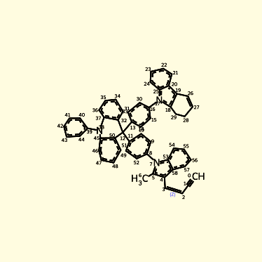 C#C/C=C\c1c(C)n(-c2ccc(C3(c4ccc(-n5c6c(c7ccccc75)C=CCC6)cc4)c4ccccc4N(c4ccccc4)c4ccccc43)cc2)c2ccccc12